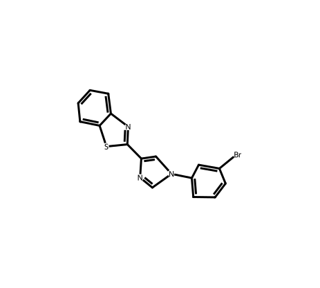 Brc1cccc(-n2cnc(-c3nc4ccccc4s3)c2)c1